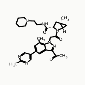 CC(=O)c1nn(CC(=O)N2[C@H](C(=O)NCCN3CCCCC3)C[C@@]3(C)C[C@@H]23)c2c(C)cc(-c3cnc(C)nc3)cc12